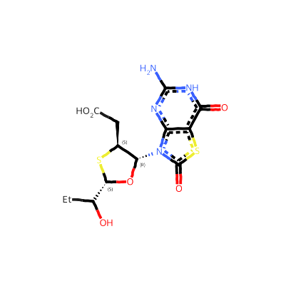 CCC(O)[C@H]1O[C@@H](n2c(=O)sc3c(=O)[nH]c(N)nc32)[C@H](CC(=O)O)S1